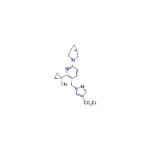 CCOC(=O)c1cnn(Cc2ccc(N3CC4CC4C3)nc2C2(C#N)CC2)c1